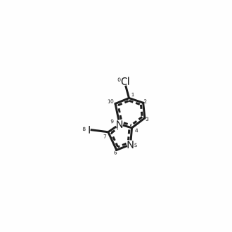 Clc1ccc2ncc(I)n2c1